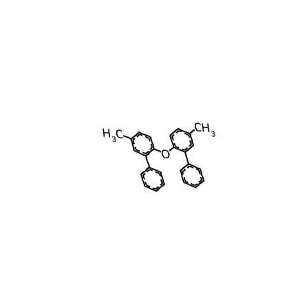 Cc1ccc(Oc2ccc(C)cc2-c2ccccc2)c(-c2ccccc2)c1